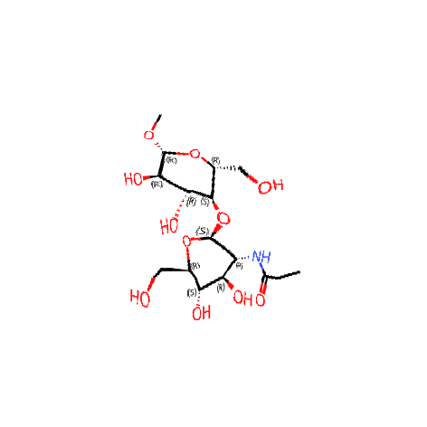 CO[C@@H]1O[C@H](CO)[C@@H](O[C@@H]2O[C@H](CO)[C@@H](O)[C@H](O)[C@H]2NC(C)=O)[C@H](O)[C@H]1O